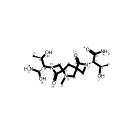 C[C@@H](O)[C@@H](C(N)=O)N1CC2(CN(C)C3(CN([C@H](C(N)O)[C@@H](C)O)C3=O)C2)C1=O